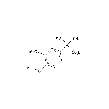 CCOC(=O)C(C)(C)c1ccc(OC(C)C)c(OC)c1